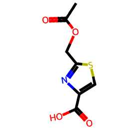 CC(=O)OCc1nc(C(=O)O)cs1